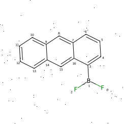 FB(F)c1cccc2cc3ccccc3cc12